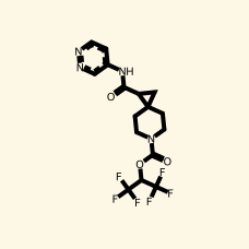 O=C(Nc1ccnnc1)C1CC12CCN(C(=O)OC(C(F)(F)F)C(F)(F)F)CC2